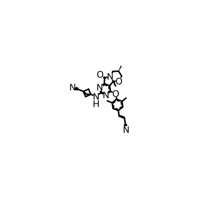 Cc1cc(/C=C/C#N)cc(C)c1Oc1nc(NC23CC(C#N)(C2)C3)nc2c1C1(C)OC[C@H](C)CN1C2=O